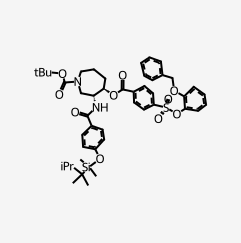 CC(C)C(C)(C)[Si](C)(C)Oc1ccc(C(=O)N[C@@H]2CN(C(=O)OC(C)(C)C)CCC[C@H]2OC(=O)c2ccc(S(=O)(=O)Oc3ccccc3OCc3ccccc3)cc2)cc1